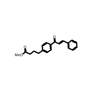 COC(=O)CCCc1ccc(C(=O)C=Cc2ccccc2)cc1